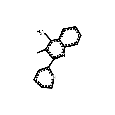 Cc1c(-c2ccccn2)nc2ccccc2c1N